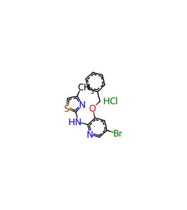 Cc1csc(Nc2ncc(Br)cc2OCc2ccccc2)n1.Cl